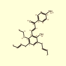 C/C=C/Cc1cc(C/C=C/C)c(OCC)c(/C=C/C(=O)c2ccc(N)cc2)c1O